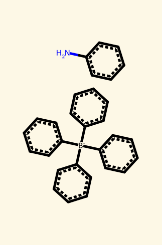 Nc1ccccc1.c1ccc([B-](c2ccccc2)(c2ccccc2)c2ccccc2)cc1